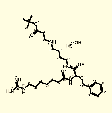 CC(C)(C)OC(=O)CCNCCCCNC(=O)C(NC(=O)CCCCCCNC(=N)N)OCc1ccccc1.Cl.Cl